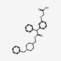 O=C(O)COc1cccc(C(C(=O)OCC2CCN(Cc3ccccc3)CC2)c2ccccc2)c1